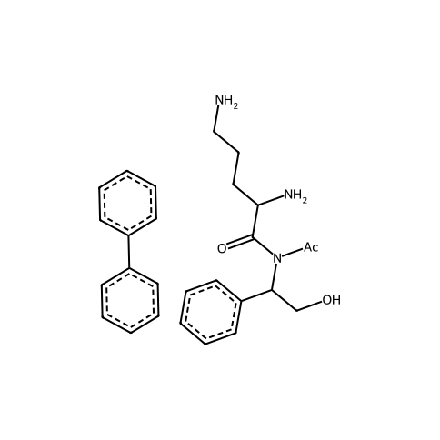 CC(=O)N(C(=O)C(N)CCCN)C(CO)c1ccccc1.c1ccc(-c2ccccc2)cc1